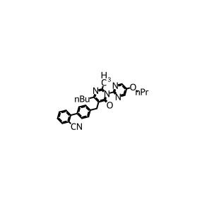 CCCCc1nc(C)n(-c2ncc(OCCC)cn2)c(=O)c1Cc1ccc(-c2ccccc2C#N)cc1